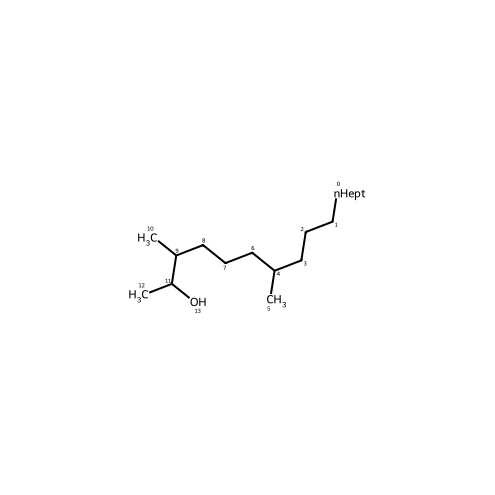 CCCCCCCCCCC(C)CCCC(C)C(C)O